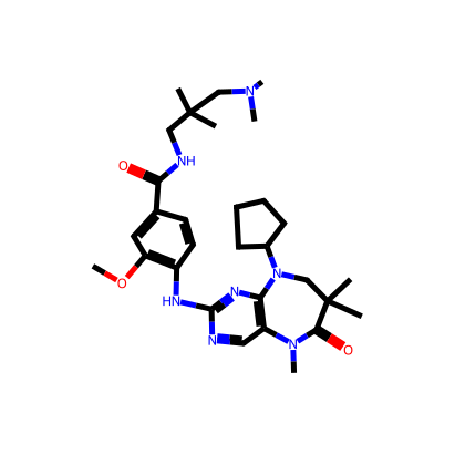 COc1cc(C(=O)NCC(C)(C)CN(C)C)ccc1Nc1ncc2c(n1)N(C1CCCC1)CC(C)(C)C(=O)N2C